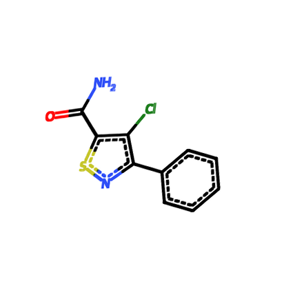 NC(=O)c1snc(-c2ccccc2)c1Cl